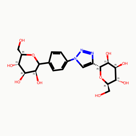 OC[C@H]1O[C@H](c2cn(-c3ccc(C4O[C@H](CO)[C@@H](O)[C@H](O)[C@@H]4O)cc3)nn2)[C@@H](O)[C@@H](O)[C@@H]1O